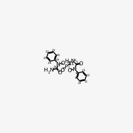 CCP(=O)(ON(C(N)=O)c1ccccc1)ON(C(N)=O)c1ccccc1